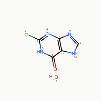 O.O=c1[nH]c(Cl)nc2nc[nH]c12